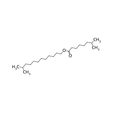 CC(C)CCCCCCCCCCOC(=O)CCCCCC(C)C